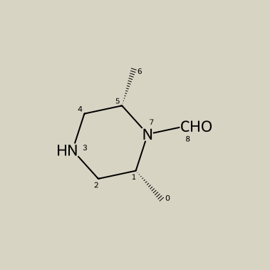 C[C@@H]1CNC[C@H](C)N1C=O